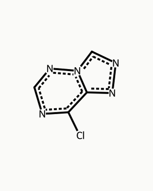 Clc1ncnn2cnnc12